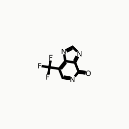 O=C1N=CC(C(F)(F)F)=C2N=CN=C12